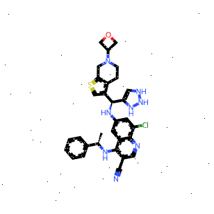 C[C@@H](Nc1c(C#N)cnc2c(Cl)cc(N[C@H](C3=CNNN3)c3csc4c3CCN(C3COC3)C4)cc12)c1ccccc1